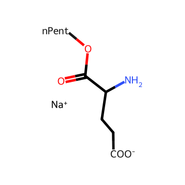 CCCCCOC(=O)C(N)CCC(=O)[O-].[Na+]